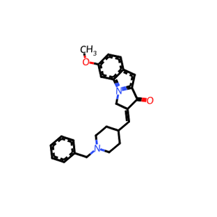 COc1ccc2cc3n(c2c1)CC(=CC1CCN(Cc2ccccc2)CC1)C3=O